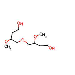 COC(CCO)COCC(CCO)OC